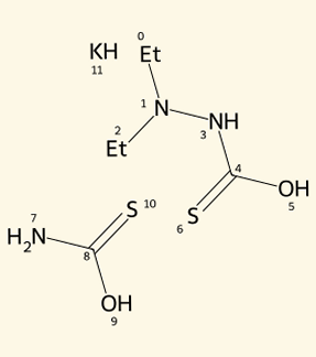 CCN(CC)NC(O)=S.NC(O)=S.[KH]